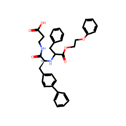 O=C(O)CCNC(=O)[C@H](Cc1ccc(-c2ccccc2)cc1)NC(Cc1ccccc1)C(=O)OCCOc1ccccc1